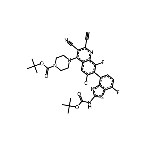 C#Cc1nc2c(F)c(-c3ccc(F)c4sc(NC(=O)OC(C)(C)C)nc34)c(Cl)cc2c(N2CCN(C(=O)OC(C)(C)C)CC2)c1C#N